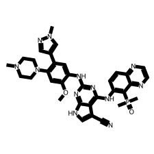 COc1cc(N2CCN(C)CC2)c(-c2cnn(C)c2)cc1Nc1nc(Nc2ccc3nccnc3c2P(C)(C)=O)c2c(C#N)c[nH]c2n1